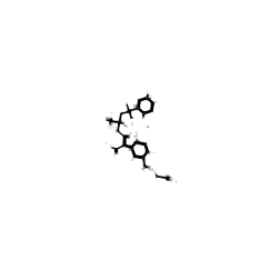 COc1ccc(F)cc1C(C)(C)CC(O)(Cc1[nH]c2ccc(C(=O)OCC#N)cc2c1C(N)=O)C(F)(F)F